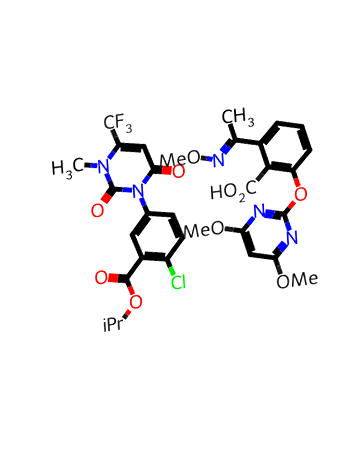 CC(C)OC(=O)c1cc(-n2c(=O)cc(C(F)(F)F)n(C)c2=O)ccc1Cl.CON=C(C)c1cccc(Oc2nc(OC)cc(OC)n2)c1C(=O)O